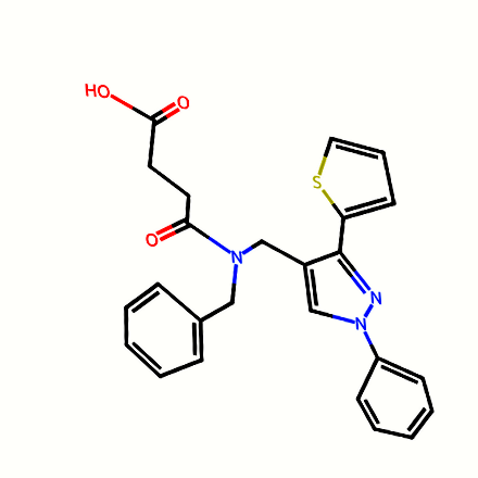 O=C(O)CCC(=O)N(Cc1ccccc1)Cc1cn(-c2ccccc2)nc1-c1cccs1